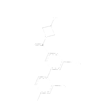 Cc1ccc(-c2cc(C(=O)O)cc(C(=O)N3CC(O)C3)c2)c(C#N)c1